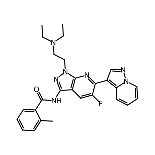 CCN(CC)CCn1nc(NC(=O)c2ccccc2C)c2cc(F)c(-c3cnn4ccccc34)nc21